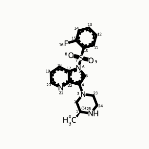 C[C@H]1CN(c2cn(S(=O)(=O)c3ccccc3F)c3cccnc23)CCN1